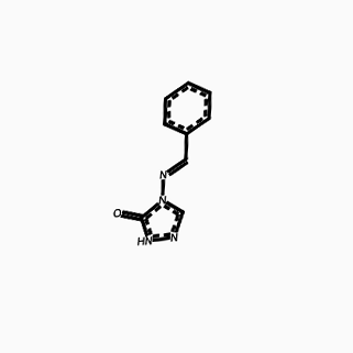 O=c1[nH]ncn1/N=C/c1ccccc1